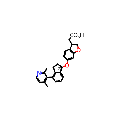 Cc1ccnc(C)c1-c1cccc2c1CC[C@H]2Oc1ccc2c(c1)OCC2CC(=O)O